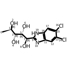 C[C@@H](O)[C@@H](O)[C@H](O)[C@H](O)c1nc2cc(Cl)c(Cl)cc2[nH]1